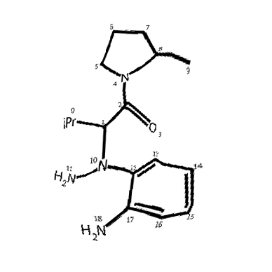 CC(C)C(C(=O)N1CCCC1C)N(N)c1ccccc1N